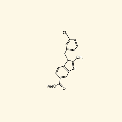 COC(=O)c1ccc2c(c1)nc(C)n2Cc1cccc(Cl)c1